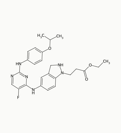 CCOC(=O)CCN1NCc2cc(Nc3nc(Nc4ccc(OC(C)C)cc4)ncc3F)ccc21